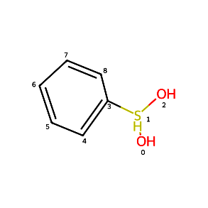 O[SH](O)c1ccccc1